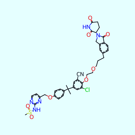 CC(C)(c1ccc(OCc2ccnc(NS(C)(=O)=O)n2)cc1)c1cc(Cl)c(OCCOCCCc2ccc3c(c2)CN(C2CCC(=O)NC2=O)C3=O)c(C#N)c1